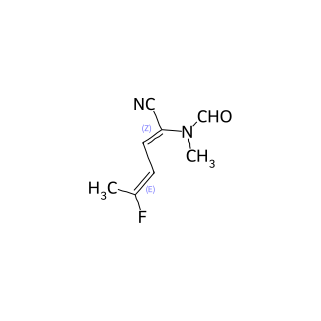 C/C(F)=C\C=C(\C#N)N(C)C=O